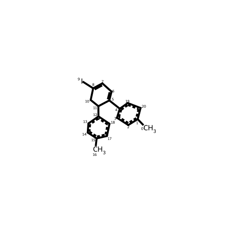 Cc1ccc(C2=CC=C(I)CC2c2ccc(C)cc2)cc1